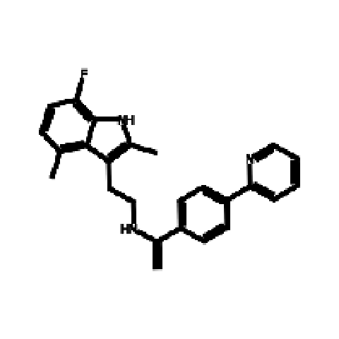 C=C(NCCc1c(C)[nH]c2c(F)ccc(C)c12)c1ccc(-c2ccccn2)cc1